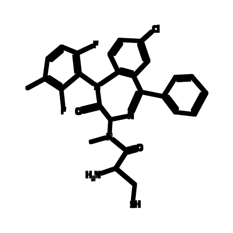 Cc1ccc(F)c(N2C(=O)C(N(C)C(=O)C(N)CS)N=C(c3ccccc3)c3cc(Cl)ccc32)c1F